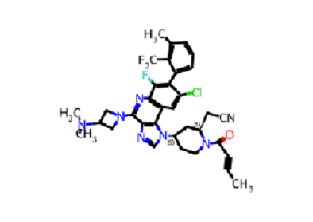 CC#CC(=O)N1CC[C@H](n2cnc3c(N4CC(N(C)C)C4)nc4c(F)c(-c5cccc(C)c5C(F)(F)F)c(Cl)cc4c32)C[C@H]1CC#N